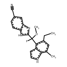 CCc1cc(C)c2[nH]ccc2c1C(F)(OC)c1nc2cc(C#N)ccc2[nH]1